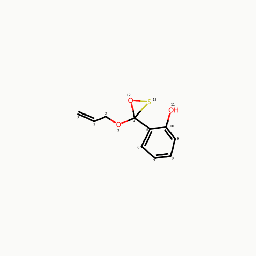 C=CCOC1(c2ccccc2O)OS1